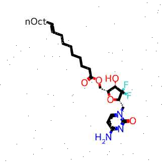 CCCCCCCC/C=C/CCCCCCCC(=O)OC[C@H]1O[C@@H](Cn2ccc(N)nc2=O)C(F)(F)[C@H]1O